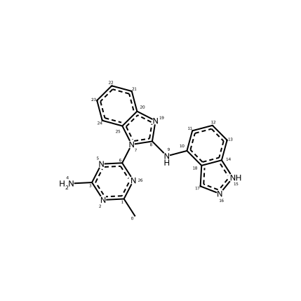 Cc1nc(N)nc(-n2c(Nc3cccc4[nH]ncc34)nc3ccccc32)n1